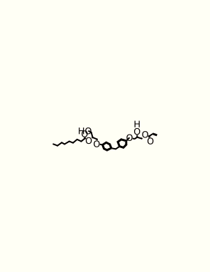 C=CC(=O)OCC(O)COc1ccc(Cc2ccc(OCC(CO)OC(=O)CCCCCCCC)cc2)cc1